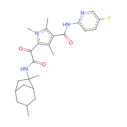 Cc1c(C(=O)Nc2ccc(F)cn2)c(C)n(C)c1C(=O)C(=O)NC1(C)CC2CC(C)CC1C2